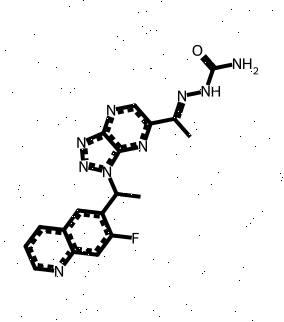 C/C(=N\NC(N)=O)c1cnc2nnn(C(C)c3cc4cccnc4cc3F)c2n1